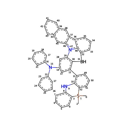 CS1(C)c2ccccc2Nc2c(-c3cc(N(c4ccccc4)c4ccccc4)cc4c3Bc3cccc5c6cc7ccccc7cc6n-4c35)cccc21